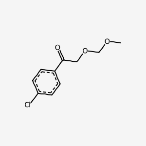 COCOCC(=O)c1ccc(Cl)cc1